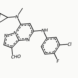 CN(c1cc(Nc2ccc(F)c(Cl)c2)nc2c(C=O)cnn12)C1CC1